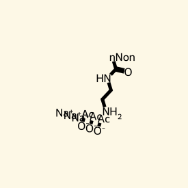 CC(=O)[O-].CC(=O)[O-].CC(=O)[O-].CCCCCCCCCC(=O)NCCN.[Na+].[Na+].[Na+]